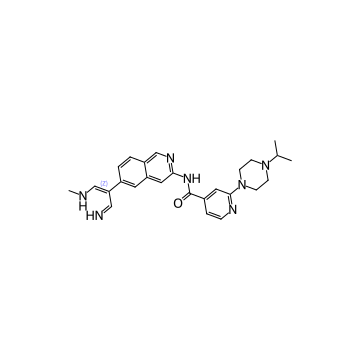 CN/C=C(\C=N)c1ccc2cnc(NC(=O)c3ccnc(N4CCN(C(C)C)CC4)c3)cc2c1